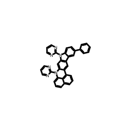 c1ccc(-c2ccc3c(c2)c2cc4c(cc2n3-c2ncccn2)N(c2ncccn2)c2cccc3cccc-4c23)cc1